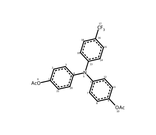 CC(=O)Oc1ccc(N(c2ccc(OC(C)=O)cc2)c2ccc(C(F)(F)F)cc2)cc1